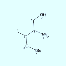 CC(OC(C)(C)C)C(N)CO